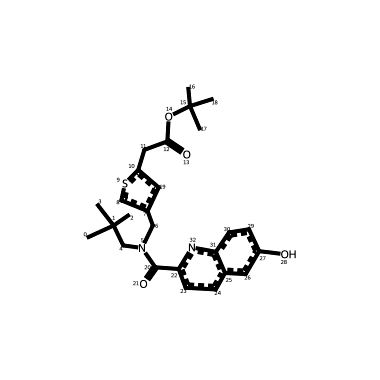 CC(C)(C)CN(Cc1csc(CC(=O)OC(C)(C)C)c1)C(=O)c1ccc2cc(O)ccc2n1